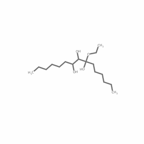 CCCCCCC(O)C(O)C(O)(CCCCCC)OCC